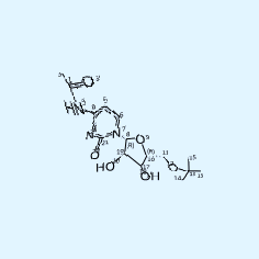 CC(=O)Nc1ccn([C@@H]2O[C@H](COC(C)(C)C)C(O)C2O)c(=O)n1